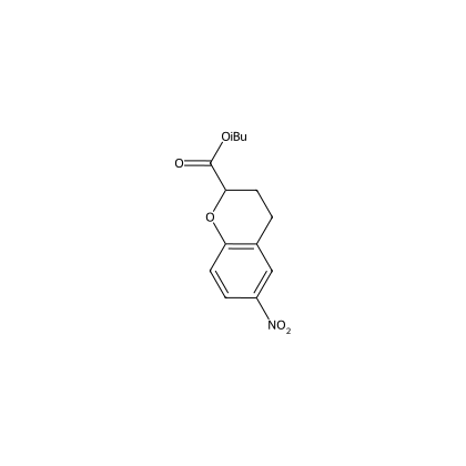 CC(C)COC(=O)C1CCc2cc([N+](=O)[O-])ccc2O1